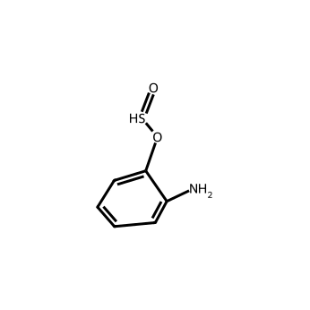 Nc1ccccc1O[SH]=O